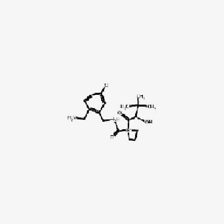 CC(C)(C)[C@@H](O)C(=O)[N+]1(C(=O)NCc2cc(Cl)ccc2CN)CCC1